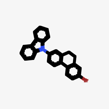 Brc1ccc2c(c1)CCc1cc(-n3c4ccccc4c4ccccc43)ccc1-2